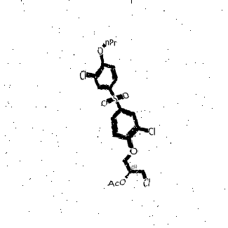 [CH2][CH]COc1ccc(S(=O)(=O)c2ccc(OC[C@@H](CCl)OC(C)=O)c(Cl)c2)cc1Cl